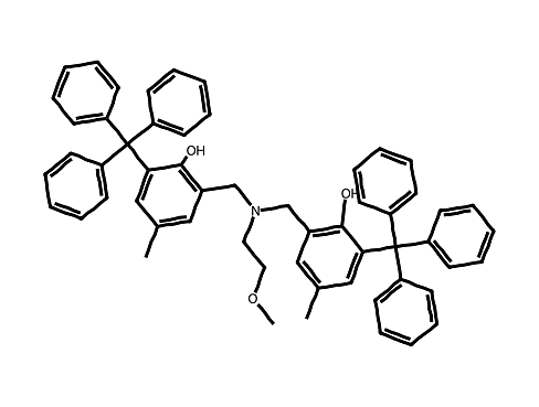 COCCN(Cc1cc(C)cc(C(c2ccccc2)(c2ccccc2)c2ccccc2)c1O)Cc1cc(C)cc(C(c2ccccc2)(c2ccccc2)c2ccccc2)c1O